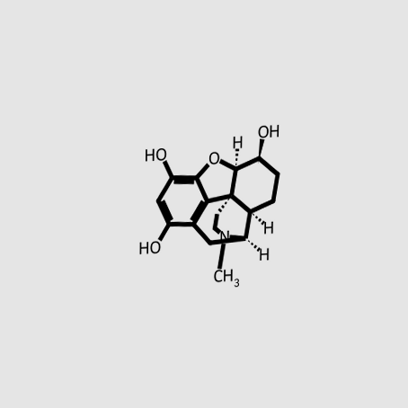 CN1CC[C@]23c4c5c(O)cc(O)c4O[C@H]2[C@@H](O)CC[C@H]3[C@H]1C5